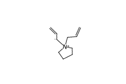 C=C[CH][N+]1(CC=C)CCCC1